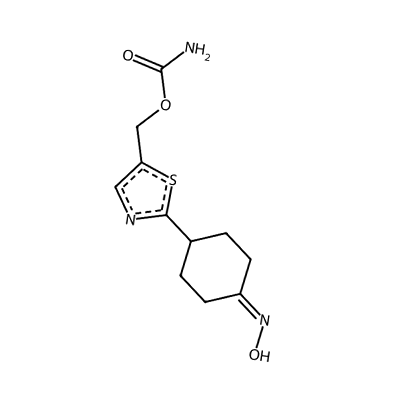 NC(=O)OCc1cnc(C2CCC(=NO)CC2)s1